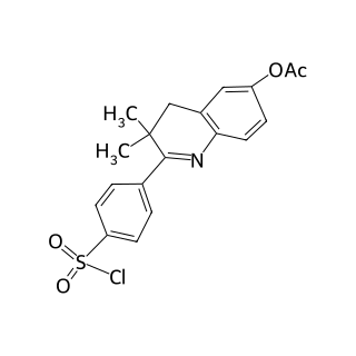 CC(=O)Oc1ccc2c(c1)CC(C)(C)C(c1ccc(S(=O)(=O)Cl)cc1)=N2